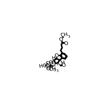 CCOC(=O)CCCc1cccc2c1O[C@H]1C[C@@H](CC(C)(C)[Si](C)(C)O)[C@H](C=O)[C@@H]21